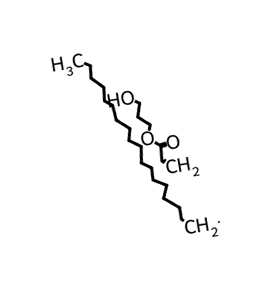 C=CC(=O)OCCCO.[CH2]CCCCCCCCCCCCCCCCC